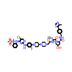 Cc1ncsc1-c1ccc(CNC(=O)[C@H]2C[C@@H](O)CN2C(=O)[C@@H](NC(=O)CN2CCN(C3CCN(c4ccc(Nc5ncc(Cl)c(Nc6ccccc6N(C)S(C)(=O)=O)n5)cc4F)CC3)CC2)C(C)(C)C)cc1